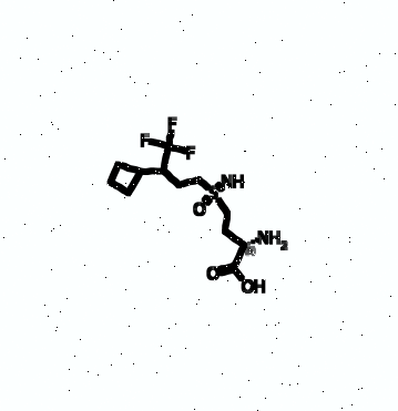 N=S(=O)(CCC(C1CCC1)C(F)(F)F)CC[C@H](N)C(=O)O